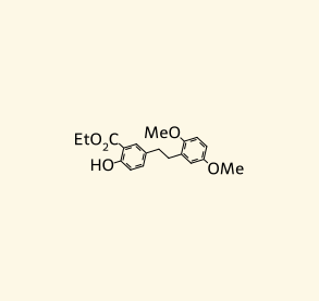 CCOC(=O)c1cc(CCc2cc(OC)ccc2OC)ccc1O